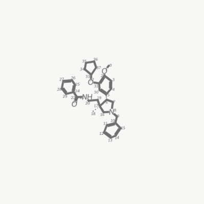 COc1ccc([C@@H]2CN(Cc3ccccc3)C[C@@]2(C)CCNC(=O)c2ccccc2)cc1OC1CCCC1